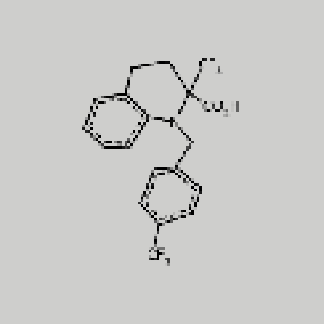 O=C(O)C1(C(F)(F)F)CCc2ccccc2N1Cc1ccc(C(F)(F)F)cc1